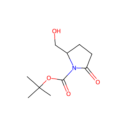 CC(C)(C)OC(=O)N1C(=O)CCC1CO